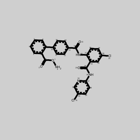 NOC(=O)c1ccccc1-c1ccc(C(=O)Nc2ccc(Cl)cc2C(=O)Nc2ccc(Cl)cn2)cc1